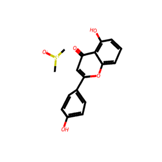 C[S+](C)[O-].O=c1cc(-c2ccc(O)cc2)oc2cccc(O)c12